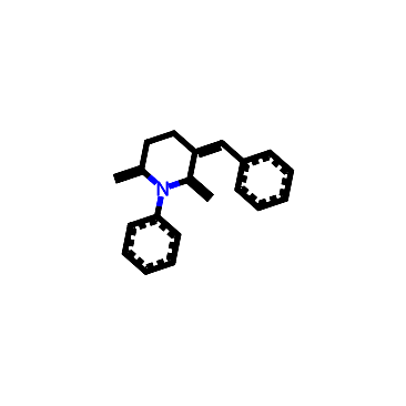 C=C1CCC(=Cc2ccccc2)C(=C)N1c1ccccc1